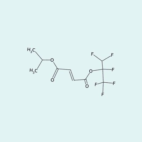 CC(C)OC(=O)C=CC(=O)OC(F)(C(F)F)C(F)(F)F